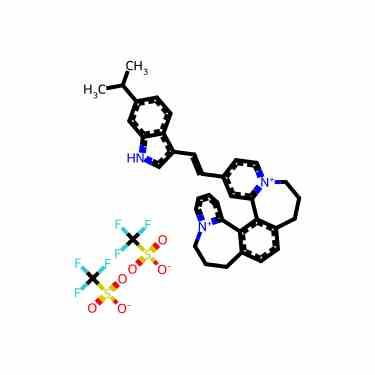 CC(C)c1ccc2c(/C=C/c3cc[n+]4c(c3)-c3c(ccc5c3-c3cccc[n+]3CCC5)CCC4)c[nH]c2c1.O=S(=O)([O-])C(F)(F)F.O=S(=O)([O-])C(F)(F)F